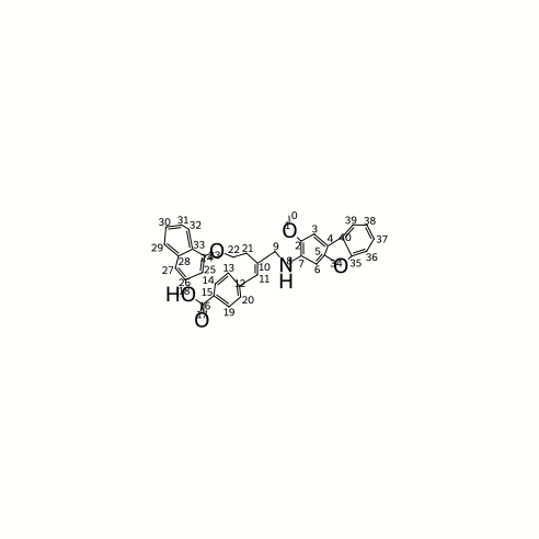 COc1cc2c(cc1NCC(=Cc1ccc(C(=O)O)cc1)CCOc1cccc3ccccc13)oc1ccccc12